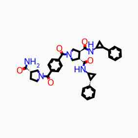 NC(=O)[C@H]1CCN(C(=O)c2ccc(C(=O)N3C[C@@H](C(=O)N[C@H]4CC4c4ccccc4)[C@H](C(=O)N[C@H]4C[C@@H]4c4ccccc4)C3)cc2)C1